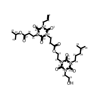 C=CCn1c(=O)n(CCC(=O)OCCn2c(=O)n(CCO)c(=O)n(CCCC(C)C)c2=O)c(=O)n(CCC(=O)OC(C)C)c1=O